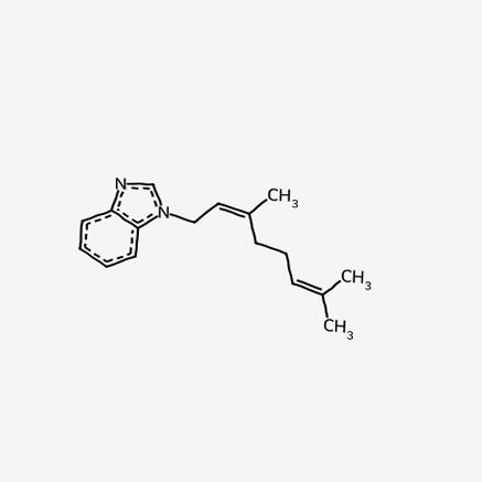 CC(C)=CCCC(C)=CCn1cnc2ccccc21